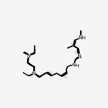 CCN(C)CCN(CC)C/C=C/C/C=C\CNC/N=C\C(C)=C/NC